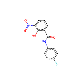 O=C(Nc1ccc(F)cc1)c1cccc([N+](=O)[O-])c1O